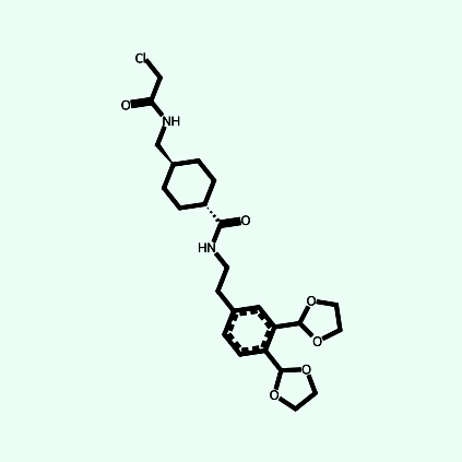 O=C(CCl)NC[C@H]1CC[C@H](C(=O)NCCc2ccc(C3OCCO3)c(C3OCCO3)c2)CC1